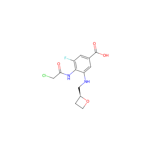 O=C(CCl)Nc1c(F)cc(C(=O)O)cc1NC[C@@H]1CCO1